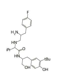 CC(C)C(NCC(N)Cc1ccc(F)cc1)C(=O)NC(CO)Cc1ccc(O)c(C(C)(C)C)c1